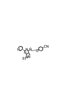 CCn1ncc2c(N(C)CCOc3ccc(C#N)cc3)nc(-c3cccnc3)nc21